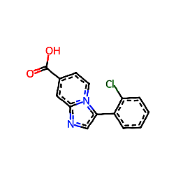 O=C(O)c1ccn2c(-c3ccccc3Cl)cnc2c1